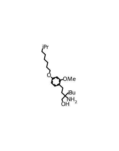 CCC(C)C(N)(CO)CCc1ccc(OCCCCCCC(C)C)cc1OC